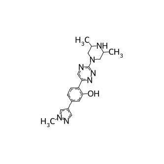 CC1CN(c2ncc(-c3ccc(-c4cnn(C)c4)cc3O)nn2)CC(C)N1